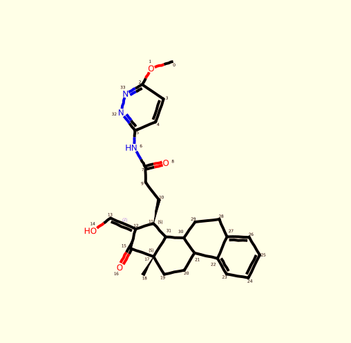 COc1ccc(NC(=O)CC[C@@H]2/C(=C/O)C(=O)[C@@]3(C)CCC4c5ccccc5CCC4C23)nn1